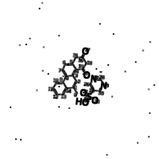 Cc1cc2c3c(ccc2c2ccccc12)CC(=O)CC3=O.O=S(=O)(O)c1cncnc1